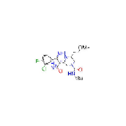 COCCC1CN(C(=O)NC(C)(C)C)C/C(=C(/C(=N)c2ccc(F)c(Cl)c2)C(N)=O)N1